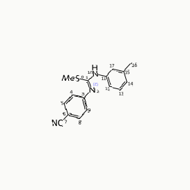 CS/C(=N\c1ccc(C#N)cc1)Nc1cccc(C)c1